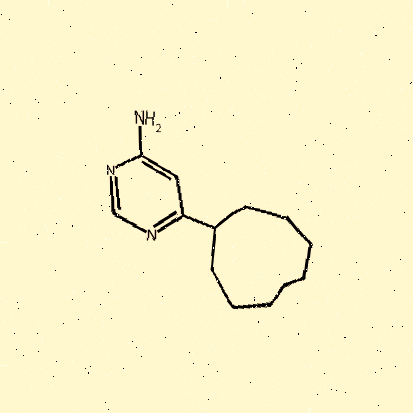 Nc1cc(C2CCCCCCC2)ncn1